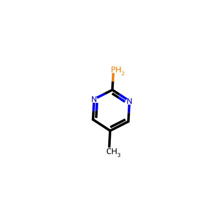 Cc1cnc(P)nc1